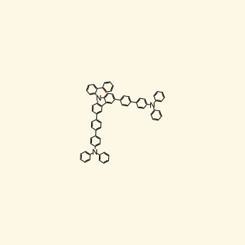 c1ccc(-c2ccccc2-n2c3ccc(-c4ccc(-c5ccc(N(c6ccccc6)c6ccccc6)cc5)cc4)cc3c3cc(-c4ccc(-c5ccc(N(c6ccccc6)c6ccccc6)cc5)cc4)ccc32)cc1